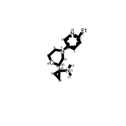 CCc1ccc(N2CCO[C@@H](C3(N(C)C)CC3)C2)cn1